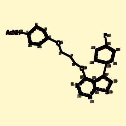 CC(=O)Nc1ccc(OCCCOc2ncnc3scc(-c4ccc(F)cc4)c23)cc1